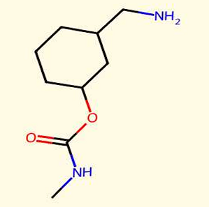 CNC(=O)OC1CCCC(CN)C1